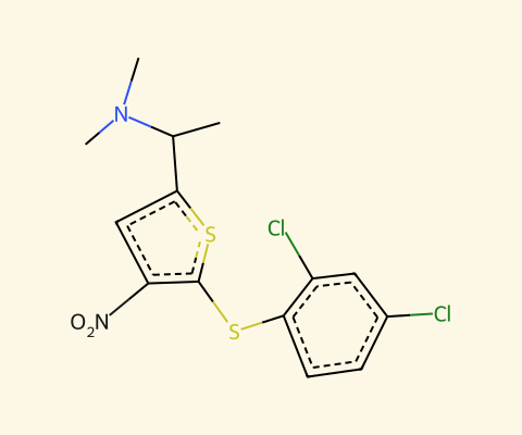 CC(c1cc([N+](=O)[O-])c(Sc2ccc(Cl)cc2Cl)s1)N(C)C